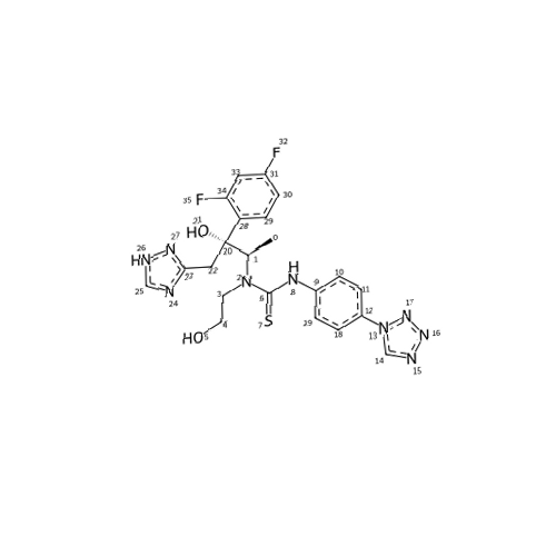 C[C@@H](N(CCO)C(=S)Nc1ccc(-n2cnnn2)cc1)[C@@](O)(Cc1nc[nH]n1)c1ccc(F)cc1F